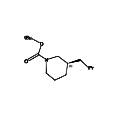 CC(C)C[C@H]1CCCN(C(=O)OC(C)(C)C)C1